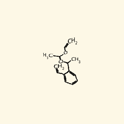 C=COC(C)OC(C)c1ccccc1C=C